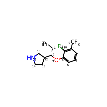 CC(C)C[C@H](Oc1cccc(C(F)(F)F)c1F)C1CCNC1